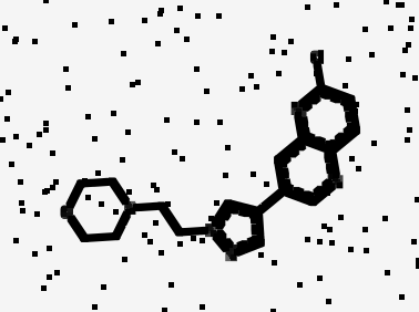 Clc1ccc2ncc(-c3cnn(CCN4CCOCC4)c3)cc2n1